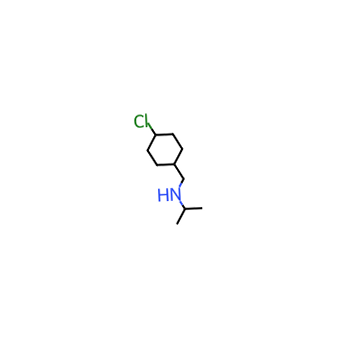 CC(C)NCC1CCC(Cl)CC1